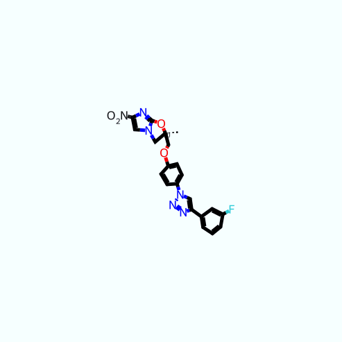 C[C@]1(COc2ccc(-n3cc(-c4cccc(F)c4)nn3)cc2)Cn2cc([N+](=O)[O-])nc2O1